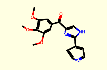 COc1cc(C(=O)c2c[nH]c(-c3ccncc3)n2)cc(OC)c1OC